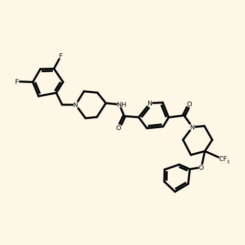 O=C(NC1CCN(Cc2cc(F)cc(F)c2)CC1)c1ccc(C(=O)N2CCC(Oc3ccccc3)(C(F)(F)F)CC2)cn1